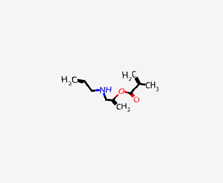 C=CCNCC(=C)OC(=O)C(=C)C